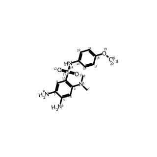 CN(C)c1cc(N)c(N)cc1S(=O)(=O)Nc1ccc(OC(F)(F)F)cc1